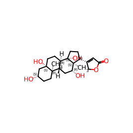 C[C@]12[C@H](O)C[C@H]3[C@@H](CC[C@]4(O)C[C@@H](O)CC[C@]34C)[C@@]1(O)CC[C@@H]2C1=CC(=O)OC1